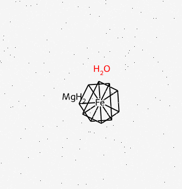 O.[CH]12[CH]3[CH]4[CH]5[CH]1[Fe]23451678[CH]2[CH]1[CH]6[CH]7[CH]28.[MgH2]